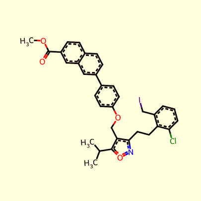 COC(=O)c1ccc2ccc(-c3ccc(OCc4c(CCc5c(Cl)cccc5CI)noc4C(C)C)cc3)cc2c1